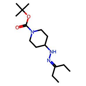 CCC(CC)=NNC1CCN(C(=O)OC(C)(C)C)CC1